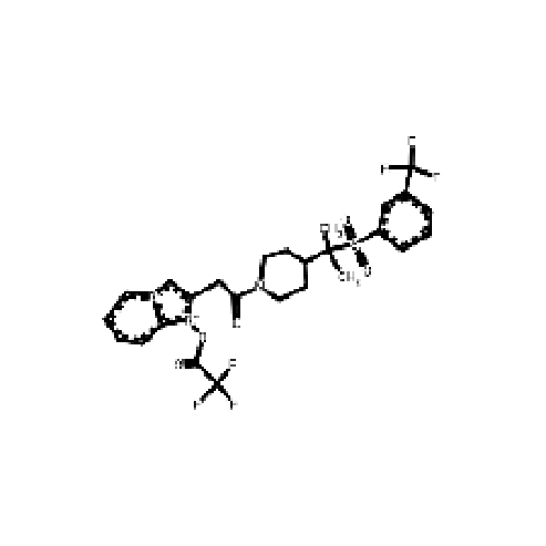 CC(C)(C1CCN(C(=O)Cc2cn3ccccc3[n+]2OC(=O)C(F)(F)F)CC1)S(=O)(=O)c1cccc(C(F)(F)F)c1